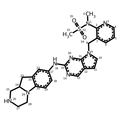 CN(c1ncccc1Cn1ccc2cnc(Nc3ccc4c(c3)CC3CNCCN43)nc21)S(C)(=O)=O